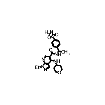 CCn1ncc2c(NC3CCOCC3)c(C(=O)NC(C)c3ccc(S(N)(=O)=O)cc3)cnc21